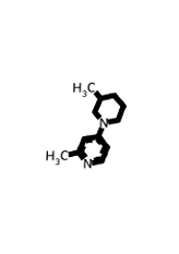 Cc1cc(N2CCCC(C)C2)ccn1